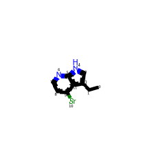 CCc1c[nH]c2nccc(Br)c12